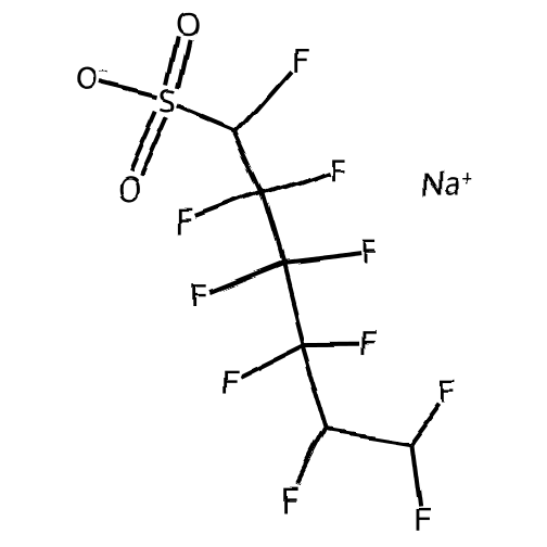 O=S(=O)([O-])C(F)C(F)(F)C(F)(F)C(F)(F)C(F)C(F)F.[Na+]